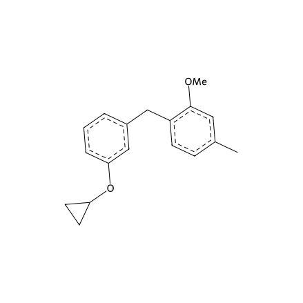 COc1cc(C)ccc1Cc1cccc(OC2CC2)c1